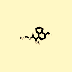 C=C(C(=O)OCC)c1ccc(C=O)c2ccccc12